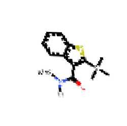 CCN(SC)C(=O)c1c([Si](C)(C)C)sc2ccccc12